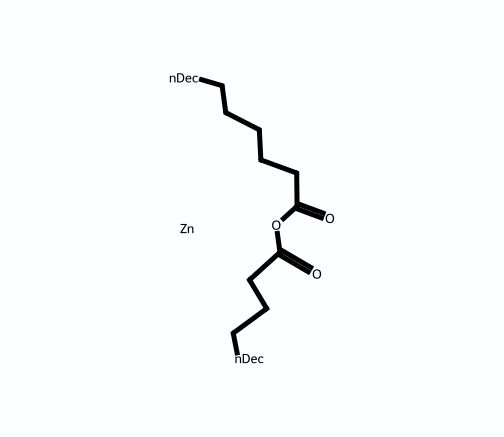 CCCCCCCCCCCCCCCC(=O)OC(=O)CCCCCCCCCCCCC.[Zn]